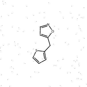 [c]1cc(Cc2cccs2)on1